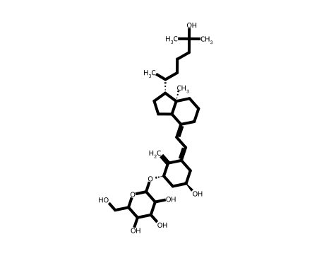 C=C1/C(=C\C=C2/CCC[C@@]3(C)C2CC[C@@H]3C(C)CCCC(C)(C)O)C[C@@H](O)C[C@@H]1OC1OC(CO)C(O)C(O)C1O